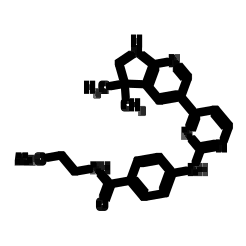 COCCNC(=O)c1ccc(Nc2nccc(-c3cnc4c(c3)C(C)(C)CN4)n2)cc1